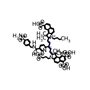 CCCC[N+]1=C(/C=C/C(=C/C=C2/N(CCCS(=O)(=O)O)c3ccc4c(S(=O)(=O)O)cc(S(=O)(=O)O)cc4c3C2(C)C)c2ccc(C(=O)NCc3ccc(S(N)(=O)=O)cc3)cn2)C(C)(C)c2c1ccc1ccc(S(=O)(=O)O)cc21